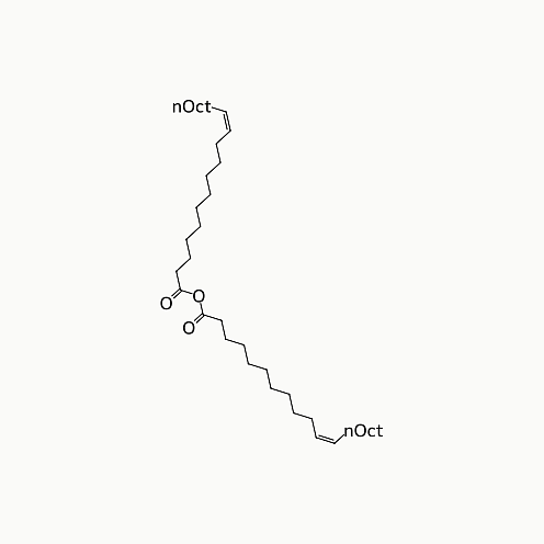 CCCCCCCC/C=C\CCCCCCCCCC(=O)OC(=O)CCCCCCCCC/C=C\CCCCCCCC